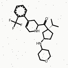 CC(C)[C@]1(C(=O)C2CC(c3ccccc3C(F)(F)F)=CCN2)CC[C@@H](NC2CCOCC2)C1